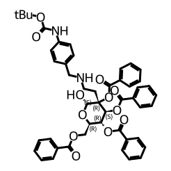 CC(C)(C)OC(=O)Nc1ccc(CNCC[C@]2(OC(=O)c3ccccc3)[C@@H](O)O[C@H](COC(=O)c3ccccc3)[C@@H](OC(=O)c3ccccc3)[C@@H]2OC(=O)c2ccccc2)cc1